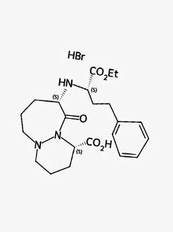 Br.CCOC(=O)[C@H](CCc1ccccc1)N[C@H]1CCCN2CCC[C@@H](C(=O)O)N2C1=O